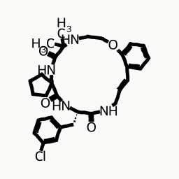 CC1(C)NCCOc2ccccc2/C=C/CNC(=O)[C@H](Cc2cccc(Cl)c2)NC(=O)C2(CCCC2)NC1=O